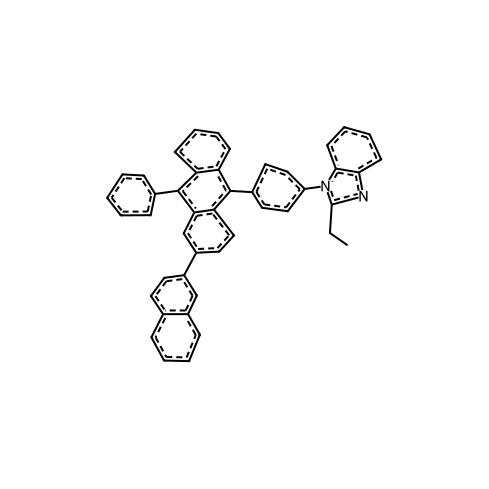 CCc1nc2ccccc2n1-c1ccc(-c2c3ccccc3c(-c3ccccc3)c3cc(-c4ccc5ccccc5c4)ccc23)cc1